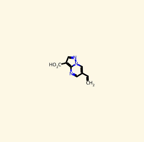 C=Cc1cnc2c(C(=O)O)cnn2c1